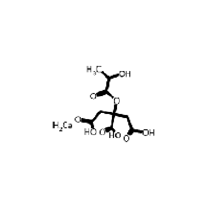 CC(O)C(=O)OC(CC(=O)O)(CC(=O)O)C(=O)O.[CaH2]